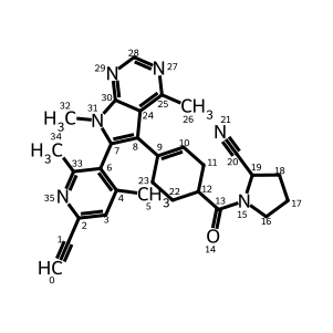 C#Cc1cc(C)c(-c2c(C3=CCC(C(=O)N4CCCC4C#N)CC3)c3c(C)ncnc3n2C)c(C)n1